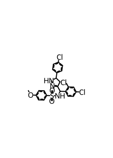 COc1ccc(S(=O)(=O)NC(C2=NNC(c3ccc(Cl)cc3)C2)c2ccc(Cl)cc2Cl)cc1